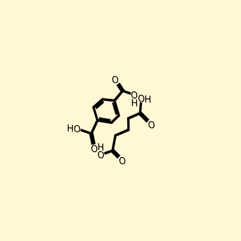 O=C(O)CCCC(=O)O.O=C(O)c1ccc(C(=O)O)cc1